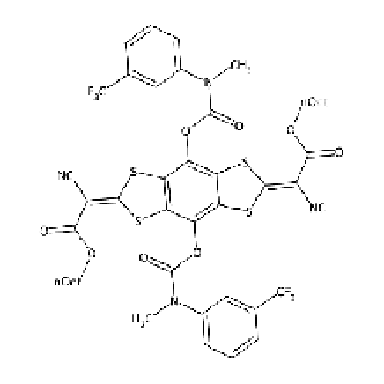 [C-]#[N+]C(C(=O)OCCCCCCCC)=C1Sc2c(OC(=O)N(C)c3cccc(C(F)(F)F)c3)c3c(c(OC(=O)N(C)c4cccc(C(F)(F)F)c4)c2S1)SC(=C(C#N)C(=O)OCCCCCCCC)S3